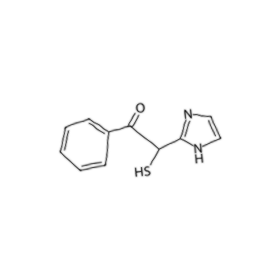 O=C(c1ccccc1)C(S)c1ncc[nH]1